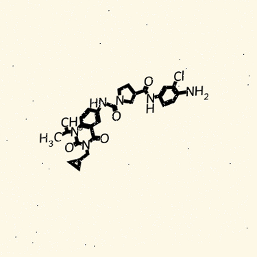 CC(C)n1c(=O)n(CC2CC2)c(=O)c2cc(NC(=O)N3CCC(C(=O)Nc4ccc(N)c(Cl)c4)C3)ccc21